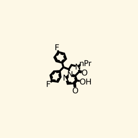 CCCN1CC(C(c2ccc(F)cc2)c2ccc(F)cc2)n2ncc(=O)c(O)c2C1=O